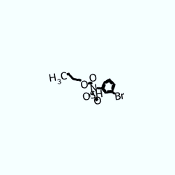 CCCCOC(=O)N(c1cccc(Br)c1)[SH](=O)=O